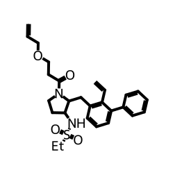 C=CCOCCC(=O)N1CCC(NS(=O)(=O)CC)C1Cc1cccc(-c2ccccc2)c1C=C